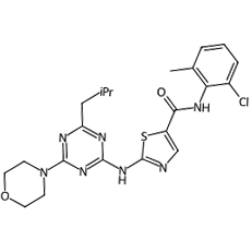 Cc1cccc(Cl)c1NC(=O)c1cnc(Nc2nc(CC(C)C)nc(N3CCOCC3)n2)s1